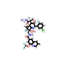 Cc1cnc2c(OC(F)F)cc(C(=O)NCC(O)(c3cc4c(c(-c5cc(Cl)ccc5F)n3)OC[C@]4(C)C(N)=O)C3(F)CC3)cc2c1